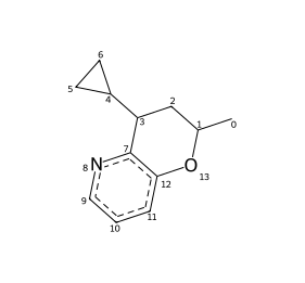 CC1CC(C2CC2)c2ncccc2O1